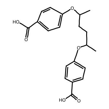 CC(CCC(C)Oc1ccc(C(=O)O)cc1)Oc1ccc(C(=O)O)cc1